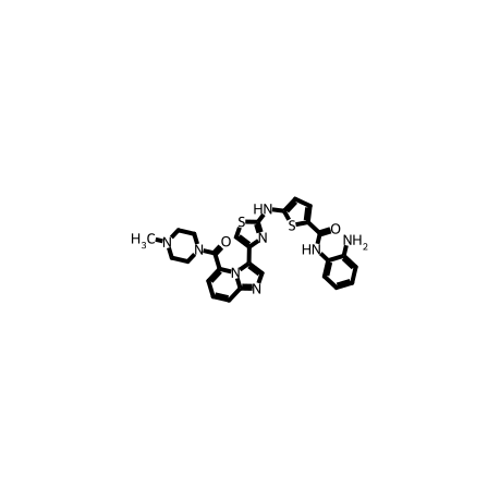 CN1CCN(C(=O)c2cccc3ncc(-c4csc(Nc5ccc(C(=O)Nc6ccccc6N)s5)n4)n23)CC1